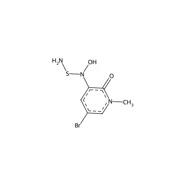 Cn1cc(Br)cc(N(O)SN)c1=O